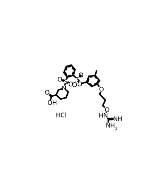 Cc1cc(OCCCONC(=N)N)cc(OS(=O)(=O)c2ccccc2S(=O)(=O)N2CCCC(C(=O)O)C2)c1.Cl